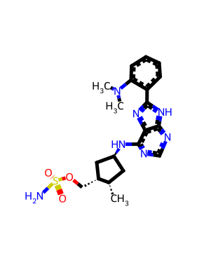 C[C@H]1C[C@H](Nc2ncnc3[nH]c(-c4ccccc4N(C)C)nc23)C[C@H]1COS(N)(=O)=O